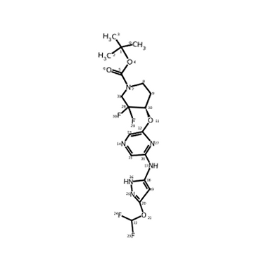 CC(C)(C)OC(=O)N1CC[C@@H](Oc2cncc(Nc3cc(OC(F)F)n[nH]3)n2)C(F)(F)C1